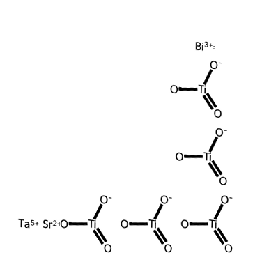 [Bi+3].[O]=[Ti]([O-])[O-].[O]=[Ti]([O-])[O-].[O]=[Ti]([O-])[O-].[O]=[Ti]([O-])[O-].[O]=[Ti]([O-])[O-].[Sr+2].[Ta+5]